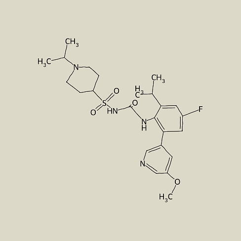 COc1cncc(-c2cc(F)cc(C(C)C)c2NC(=O)NS(=O)(=O)C2CCN(C(C)C)CC2)c1